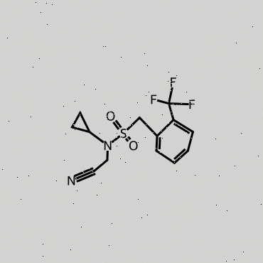 N#CCN(C1CC1)S(=O)(=O)Cc1ccccc1C(F)(F)F